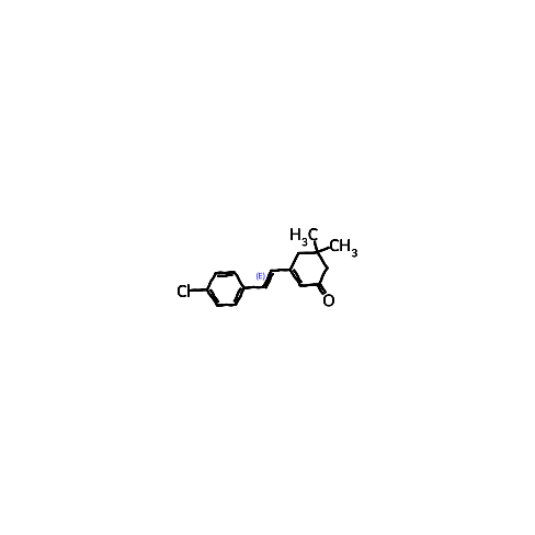 CC1(C)CC(=O)C=C(/C=C/c2ccc(Cl)cc2)C1